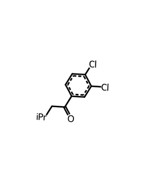 CC(C)CC(=O)c1ccc(Cl)c(Cl)c1